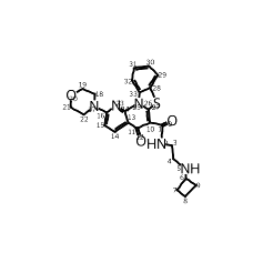 O=C(NCCNC1CCC1)c1c(=O)c2ccc(N3CCOCC3)nc2n2c1sc1ccccc12